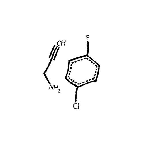 C#CCN.Fc1ccc(Cl)cc1